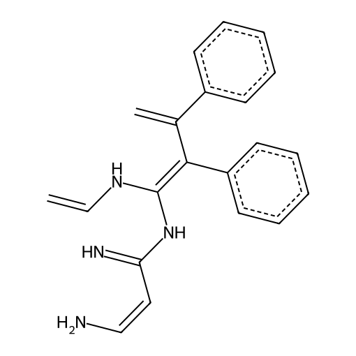 C=CN/C(NC(=N)/C=C\N)=C(\C(=C)c1ccccc1)c1ccccc1